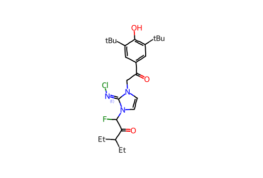 CCC(CC)C(=O)C(F)n1ccn(CC(=O)c2cc(C(C)(C)C)c(O)c(C(C)(C)C)c2)/c1=N\Cl